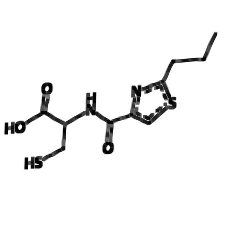 CCCc1nc(C(=O)NC(CS)C(=O)O)cs1